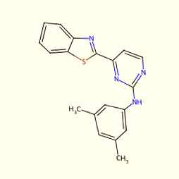 Cc1cc(C)cc(Nc2nccc(-c3nc4ccccc4s3)n2)c1